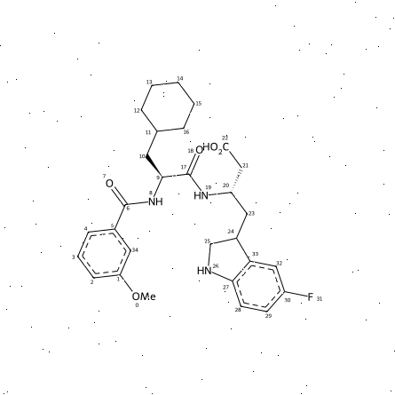 COc1cccc(C(=O)N[C@@H](CC2CCCCC2)C(=O)N[C@H](CC(=O)O)CC2CNc3ccc(F)cc32)c1